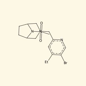 CCc1cc(CN2CC3CCC(C2)N3S(C)(=O)=O)ncc1Br